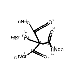 Br.CCCCCCCCCC(=O)C(P)(C(=O)CCCCCCCCC)C(=O)CCCCCCCCC